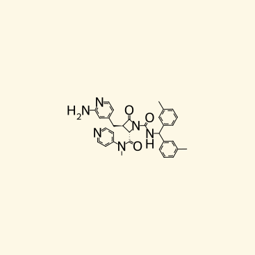 Cc1cccc(C(NC(=O)N2C(=O)[C@H](Cc3ccnc(N)c3)[C@H]2C(=O)N(C)c2ccncc2)c2cccc(C)c2)c1